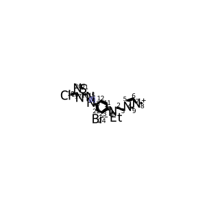 CCN(CCn1cc[n+](C)c1)c1ccc(/N=N/c2nc(Cl)ns2)cc1.[Br-]